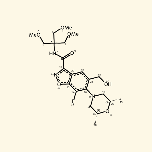 COCC(COC)(COC)NC(=O)c1noc2c(F)c(N3C[C@@H](C)O[C@@H](C)C3)c(CO)cc12